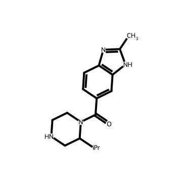 Cc1nc2ccc(C(=O)N3CCNCC3C(C)C)cc2[nH]1